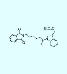 CCOC(=O)CC1CN(C(=O)CCCCCN2C(=O)c3ccccc3C2=O)c2ccccc21